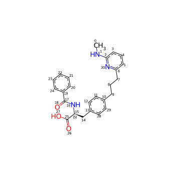 CNc1cccc(CCCc2ccc(C[C@H](NC(=O)c3ccccc3)C(=O)O)cc2)n1